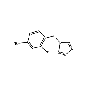 N#Cc1ccc(On2cnnn2)c(F)c1